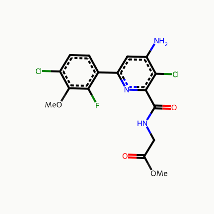 COC(=O)CNC(=O)c1nc(-c2ccc(Cl)c(OC)c2F)cc(N)c1Cl